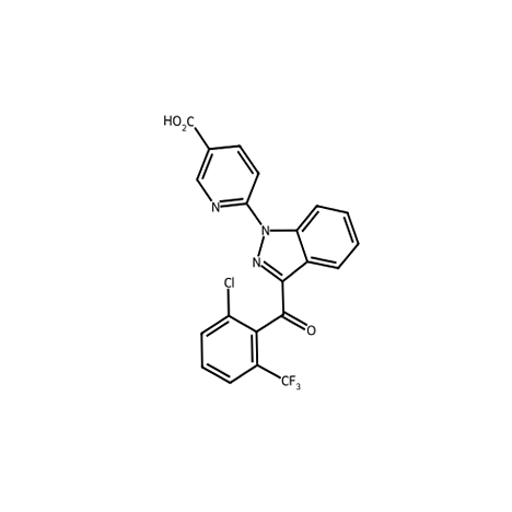 O=C(O)c1ccc(-n2nc(C(=O)c3c(Cl)cccc3C(F)(F)F)c3ccccc32)nc1